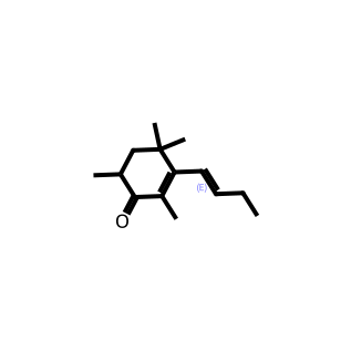 CC/C=C/C1=C(C)C(=O)C(C)CC1(C)C